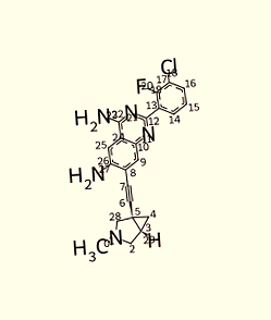 CN1C[C@H]2C[C@@]2(C#Cc2cc3nc(-c4cccc(Cl)c4F)nc(N)c3cc2N)C1